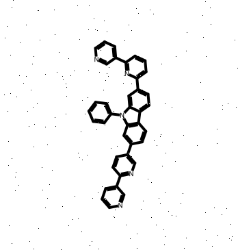 c1ccc(-n2c3cc(-c4ccc(-c5cccnc5)nc4)ccc3c3ccc(-c4cccc(-c5cccnc5)n4)cc32)cc1